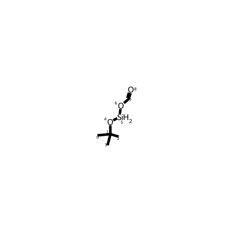 CC(C)(C)O[SiH2]OC=O